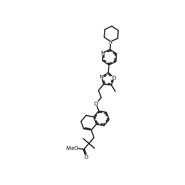 COC(=O)C(C)(C)CC1=CCCc2c(OCCc3nc(-c4ccc(N5CCCCC5)nc4)oc3C)cccc21